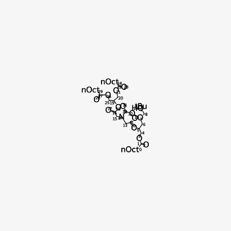 CCCCCCCCC(=O)OCC(COCO)OC(=O)CN(CC(=O)OC(COC(=O)CCCCCCCC)COC(=O)CCCCCCCC)C(=O)OC(C)(C)C